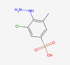 Cc1cc(S(=O)(=O)O)cc(Cl)c1NN